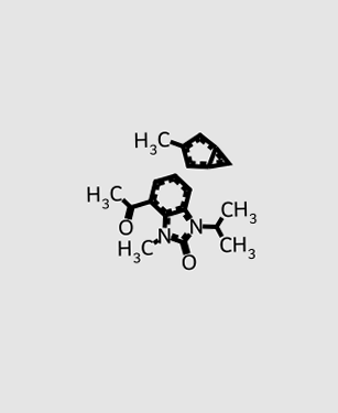 CC(=O)c1cccc2c1n(C)c(=O)n2C(C)C.Cc1cc2cc-2c1